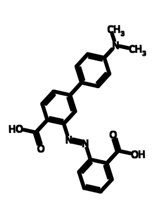 CN(C)c1ccc(-c2ccc(C(=O)O)c(N=Nc3ccccc3C(=O)O)c2)cc1